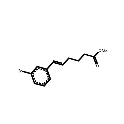 COC(=O)CCCC=Cc1cccc(Br)c1